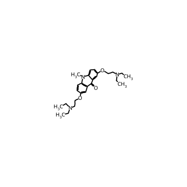 CCN(CC)CCOc1ccc2c(c1)c(=O)c1cc(OCCN(CC)CC)ccc1n2C